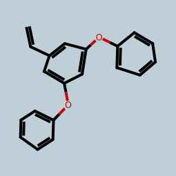 C=Cc1cc(Oc2ccccc2)cc(Oc2ccccc2)c1